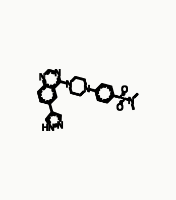 CN(C)S(=O)(=O)c1ccc(N2CCN(c3ncnc4ccc(-c5cn[nH]c5)cc34)CC2)cc1